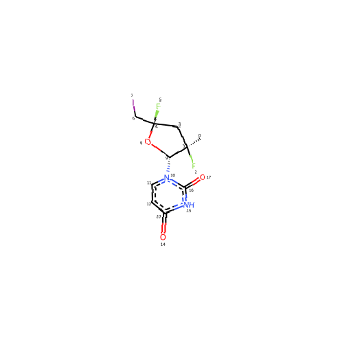 C[C@@]1(F)[CH][C@@](F)(CI)O[C@H]1n1ccc(=O)[nH]c1=O